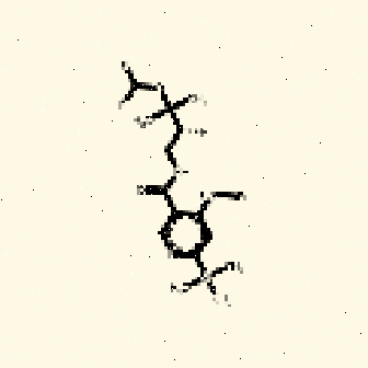 CC(C)Nc1c[c]([Sn]([CH3])([CH3])[CH3])ncc1C(=O)NC[C@@H](F)C(C)(C)OC(F)F